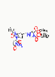 Cn1c(=O)n(C2CCC(=O)NC2=O)c2ccc(CN3CCN(C(=O)OC(C)(C)C)C(C(=O)OC(C)(C)C)C3)cc21